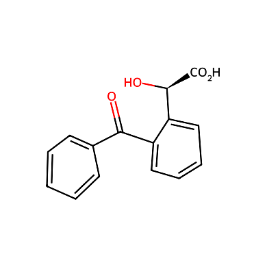 O=C(c1ccccc1)c1ccccc1[C@@H](O)C(=O)O